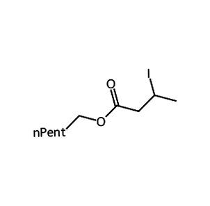 CCCCCCOC(=O)CC(C)I